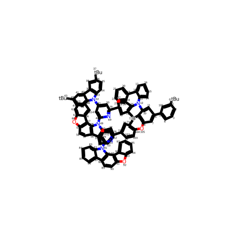 CC(C)(C)c1cccc(-c2cc3c4c(c2)N(c2ccccc2-c2ccccc2)c2ccc(-c5cc(-n6c7ccc(C(C)(C)C)cc7c7cc(C(C)(C)C)ccc76)cc(-n6c7ccccc7c7ccc8oc9ccccc9c8c76)n5)cc2B4c2cc(-c4cccc(-n5c6ccccc6c6ccc7oc8ccccc8c7c65)n4)ccc2O3)c1